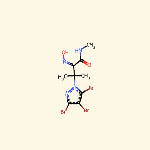 CNC(=O)C(=NO)C(C)(C)n1nc(Br)c(Br)c1Br